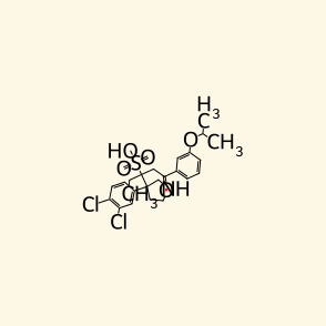 CCC(CC(=O)c1cccc(OC(C)C)c1)(C1(c2ccc(Cl)c(Cl)c2)CCNC1)S(=O)(=O)O